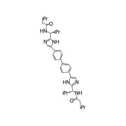 CC(C)CC(=O)N[C@H](c1ncc(-c2ccc(-c3ccc(-c4cnc([C@@H](NC(=O)CC(C)C)C(C)C)[nH]4)cc3)cc2)[nH]1)C(C)C